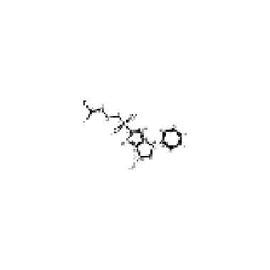 O=S(=O)(CCOC(F)F)c1nc2n(n1)[C@H](c1ccccc1)C[C@@H]2F